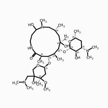 CO[C@]1(C)C[C@H](O[C@H]2[C@H](C)[C@@H](O[C@@H]3O[C@H](C)C[C@H](N(C)C)[C@H]3O)[C@](C)(O)C[C@@H](C)CN(C)C(O)CCNC(=O)[C@@H]2C)OCC1(O)CN(C)C